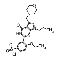 CCCn1cc(CN2CCOCC2)c2c(=O)[nH]c(-c3cc(S(=O)(=O)Cl)ccc3OCC)nc21